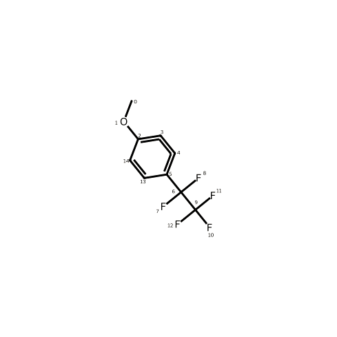 COC1=C=C=C(C(F)(F)C(F)(F)F)C=C1